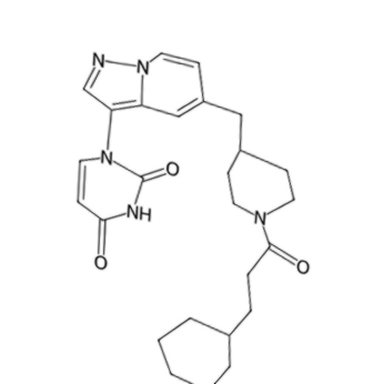 O=C(CCC1CCCCC1)N1CCC(Cc2ccn3ncc(-n4ccc(=O)[nH]c4=O)c3c2)CC1